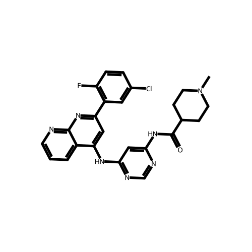 CN1CCC(C(=O)Nc2cc(Nc3cc(-c4cc(Cl)ccc4F)nc4ncccc34)ncn2)CC1